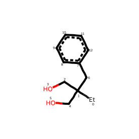 CCC(CO)(CO)Cc1ccccc1